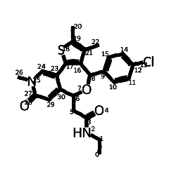 CCNC(=O)CC1OC(c2ccc(Cl)cc2)c2c(sc(C)c2C)-c2cn(C)c(=O)cc21